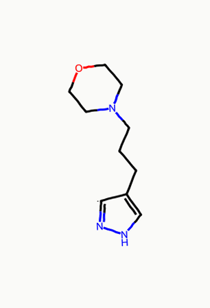 [c]1n[nH]cc1CCCN1CCOCC1